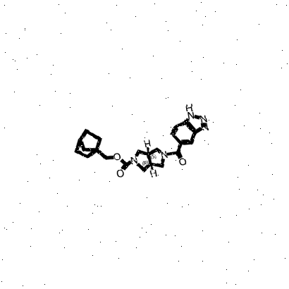 O=C(OCC12CCC(CC1)C2)N1C[C@@H]2CN(C(=O)c3ccc4[nH]nnc4c3)C[C@@H]2C1